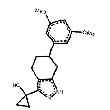 COc1cc(OC)cc(C2CCc3c(C4(C#N)CC4)n[nH]c3C2)c1